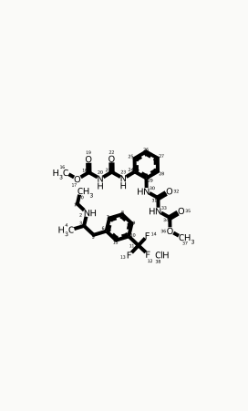 CCNC(C)Cc1cccc(C(F)(F)F)c1.COC(=O)NC(=O)Nc1ccccc1NC(=O)NC(=O)OC.Cl